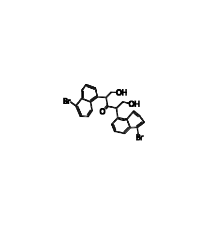 O=C(C(CO)c1cccc2c(Br)cccc12)C(CO)c1cccc2c(Br)cccc12